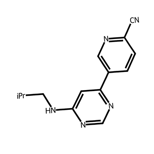 CC(C)CNc1cc(-c2ccc(C#N)nc2)ncn1